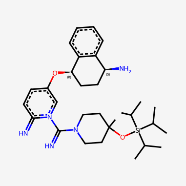 CC(C)[Si](OC1(C)CCN(C(=N)n2cc(O[C@@H]3CC[C@H](N)c4ccccc43)ccc2=N)CC1)(C(C)C)C(C)C